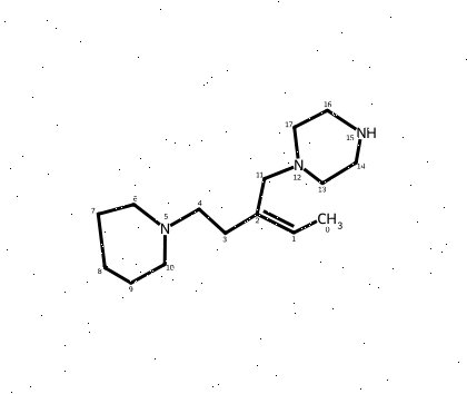 CC=C(CCN1CCCCC1)CN1CCNCC1